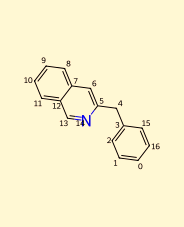 c1ccc(Cc2cc3ccccc3cn2)cc1